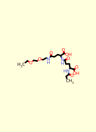 CCOCCOCCNC(=O)CCC(NC(=O)CCC(NC(=O)CC)C(=O)O)C(=O)O